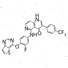 O=c1c(-c2ccc(C(F)(F)F)cc2)c[nH]c2ccnc(Nc3ccc(Oc4ncnc5ccsc45)c(F)c3)c12